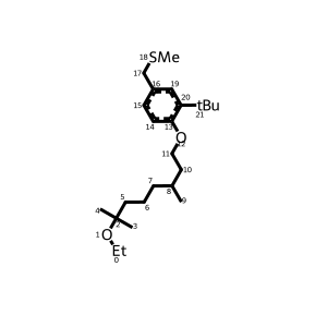 CCOC(C)(C)CCCC(C)CCOc1ccc(CSC)cc1C(C)(C)C